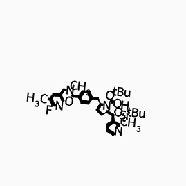 Cc1cc(CN(C)C(=O)c2ccc(C[C@@H]3CC[C@H]([C@H](O[SiH](C)C(C)(C)C)c4cccnc4)N3C(=O)OC(C)(C)C)cc2)cnc1F